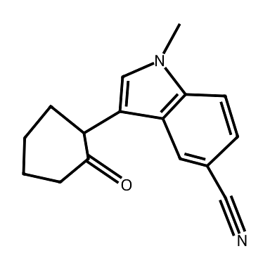 Cn1cc(C2CCCCC2=O)c2cc(C#N)ccc21